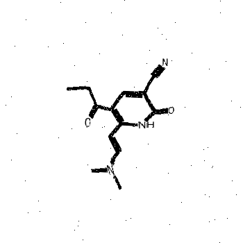 CCC(=O)c1cc(C#N)c(=O)[nH]c1C=CN(C)C